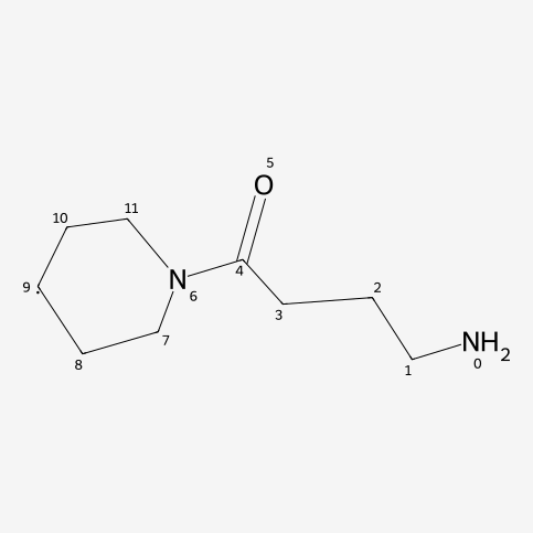 NCCCC(=O)N1CC[CH]CC1